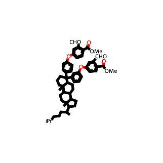 COC(=O)c1ccc(Oc2ccc(C3(c4cccc(Oc5ccc(C(=O)OC)c(C=O)c5)c4)CCCC4(C)C5CCC6(C)C(C(C)CCCC(C)C)CCC6C5CCC34)cc2)cc1C=O